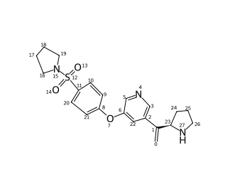 C=C(c1cncc(Oc2ccc(S(=O)(=O)N3CCCC3)cc2)c1)[C@H]1CCCN1